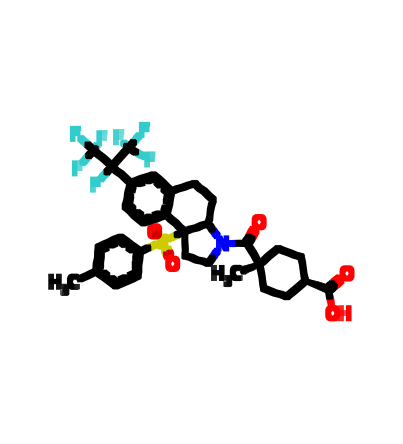 Cc1ccc(S(=O)(=O)C23CCN(C(=O)[C@]4(C)CC[C@@H](C(=O)O)CC4)C2CCc2cc(C(F)(C(F)(F)F)C(F)(F)F)ccc23)cc1